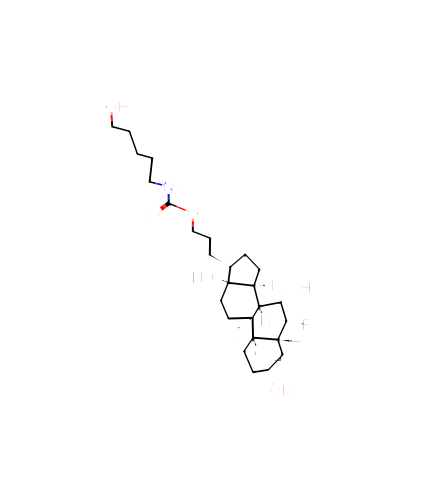 CC[C@H]1[C@@H](O)[C@@H]2[C@H](CC[C@]3(C)[C@@H](CCCOC(=O)NCCCCCO)CC[C@@H]23)[C@@]2(C)CC[C@@H](O)C[C@@H]12